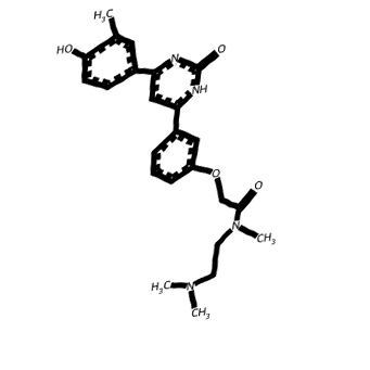 Cc1cc(-c2cc(-c3cccc(OCC(=O)N(C)CCN(C)C)c3)[nH]c(=O)n2)ccc1O